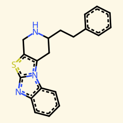 c1ccc(CCC2Cc3c(sc4nc5ccccc5n34)CN2)cc1